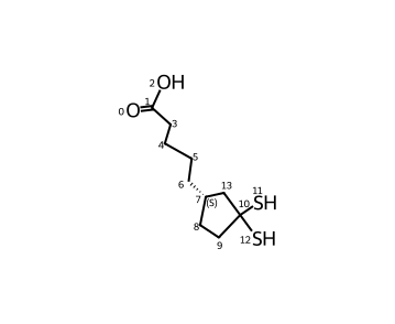 O=C(O)CCCC[C@H]1CCC(S)(S)C1